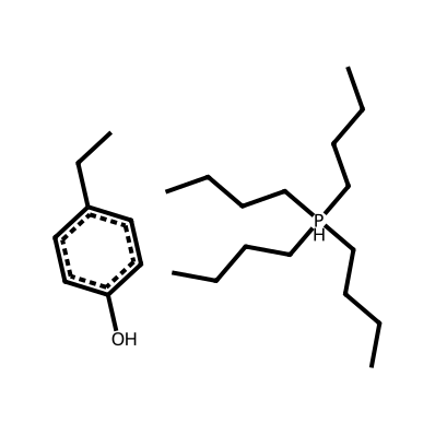 CCCC[PH](CCCC)(CCCC)CCCC.CCc1ccc(O)cc1